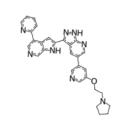 c1ccc(-c2cncc3[nH]c(-c4n[nH]c5ncc(-c6cncc(OCCN7CCCC7)c6)cc45)cc23)nc1